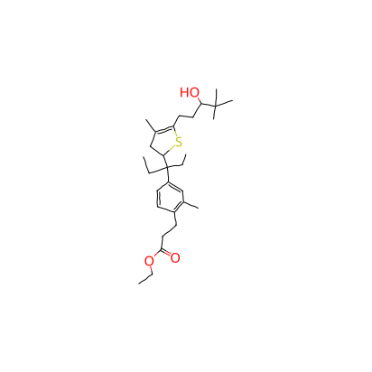 CCOC(=O)CCc1ccc(C(CC)(CC)C2CC(C)=C(CCC(O)C(C)(C)C)S2)cc1C